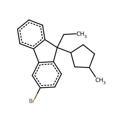 CCC1(C2CCC(C)C2)c2ccccc2-c2cc(Br)ccc21